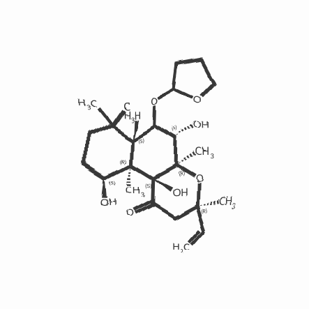 C=C[C@@]1(C)CC(=O)[C@]2(O)[C@@]3(C)[C@@H](O)CCC(C)(C)[C@@H]3C(OC3CCCO3)[C@H](O)[C@@]2(C)O1